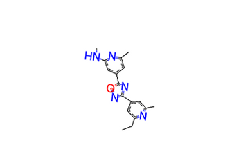 CCc1cc(-c2noc(-c3cc(C)nc(NC)c3)n2)cc(C)n1